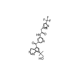 CC(C)(CO)n1cc(C(=O)c2cncc(NC(=O)Cn3cc(C(F)(F)F)nn3)c2)c2cncnc21